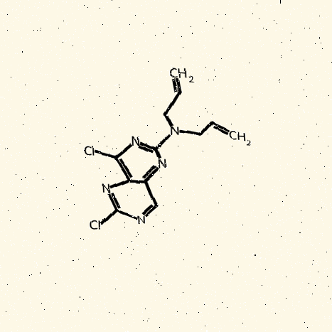 C=CCN(CC=C)c1nc(Cl)c2nc(Cl)ncc2n1